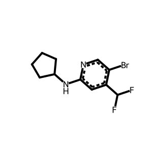 FC(F)c1cc(NC2CCCC2)ncc1Br